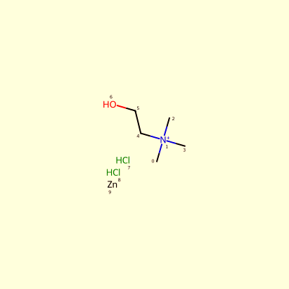 C[N+](C)(C)CCO.Cl.Cl.[Zn]